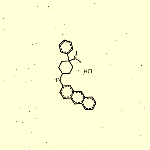 CN(C)C1(c2ccccc2)CCC(Nc2ccc3cc4ccccc4cc3c2)CC1.Cl